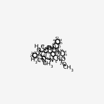 COCC(=O)N1CCc2cc(-c3cc(C(=O)N(c4ccccc4)c4cc(C#N)n(C)c4C)c(C)n3C)c(C(=O)N3Cc4ccccc4C[C@H]3CN3CCCCC3)cc2C1